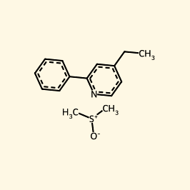 CCc1ccnc(-c2ccccc2)c1.C[S+](C)[O-]